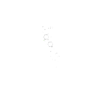 CCCC[C@H]1CC[C@H](CCc2ccc(-c3ccc(CC(C)CC)cc3F)cc2)CC1